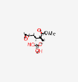 C=C(CCC1CO1)C(=O)OC.O=[Si](O)O